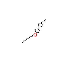 CCCCCCCCO[C@H]1CC[C@H](C2CCC(CCC)CC2)CC1